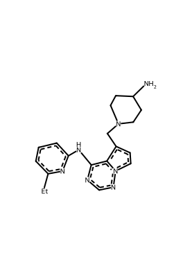 CCc1cccc(Nc2ncnn3ccc(CN4CCC(N)CC4)c23)n1